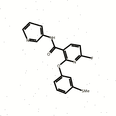 CSc1cccc(Oc2nc(F)ccc2C(=O)Nc2cccnc2)c1